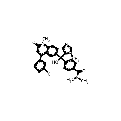 CN(C)C(=O)c1ccc(C(O)(c2ccc3c(c2)c(-c2cccc(Cl)c2)cc(=O)n3C)c2cncn2C)cc1